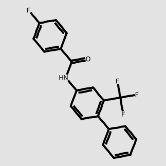 O=C(Nc1ccc(-c2ccccc2)c(C(F)(F)F)c1)c1ccc(F)cc1